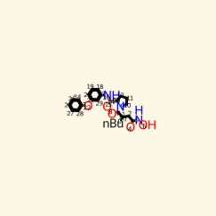 CCCC[C@H](CC(=O)NO)C(=O)N1CCC[C@H]1C(=O)Nc1cccc(Oc2ccccc2)c1